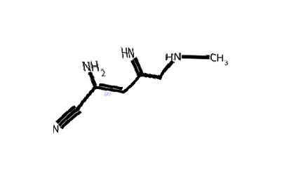 CNCC(=N)/C=C(\N)C#N